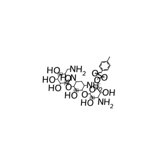 Cc1ccc(S(=O)(=O)OC[C@H]2OC(OC3C(N)CC(N)C(O[C@H]4OC(CN)[C@@H](O)C(O)C4O)[C@@H]3O)[C@H](O)C(N)C2O)cc1